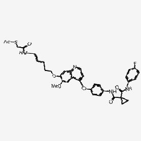 COc1cc2c(Oc3ccc(NC(=O)C4(C(=O)Nc5ccc(F)cc5)CC4)cc3)ccnc2cc1OCCCCCNC(=O)CSC(C)=O